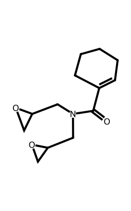 O=C(C1=CCCCC1)N(CC1CO1)CC1CO1